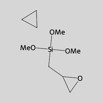 C1CC1.CO[Si](CC1CO1)(OC)OC